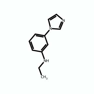 CCNc1cccc(-n2ccnc2)c1